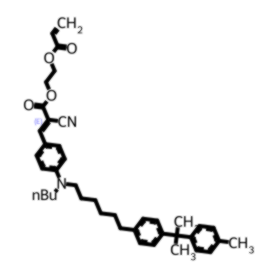 C=CC(=O)OCCOC(=O)/C(C#N)=C/c1ccc(N(CCCC)CCCCCCc2ccc(C(C)(C)c3ccc(C)cc3)cc2)cc1